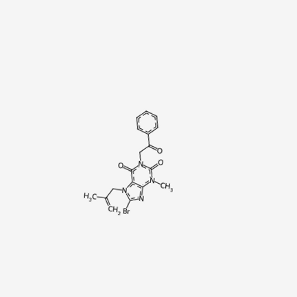 C=C(C)Cn1c(Br)nc2c1c(=O)n(CC(=O)c1ccccc1)c(=O)n2C